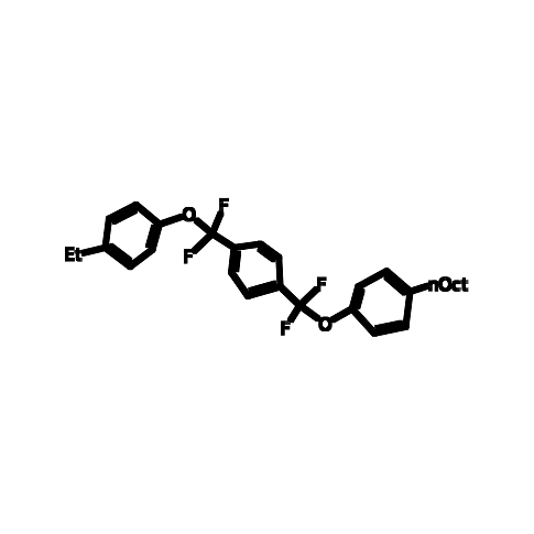 CCCCCCCCc1ccc(OC(F)(F)c2ccc(C(F)(F)Oc3ccc(CC)cc3)cc2)cc1